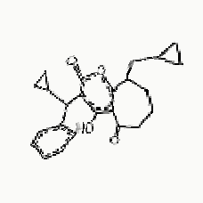 O=C1CCCC(CC2CC2)c2oc(=O)c(C(c3ccccc3)C3CC3)c(O)c21